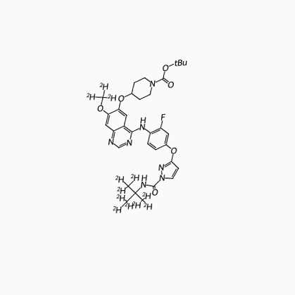 [2H]C([2H])([2H])Oc1cc2ncnc(Nc3ccc(Oc4ccn(C(=O)NC(C([2H])([2H])[2H])(C([2H])([2H])[2H])C([2H])([2H])[2H])n4)cc3F)c2cc1OC1CCN(C(=O)OC(C)(C)C)CC1